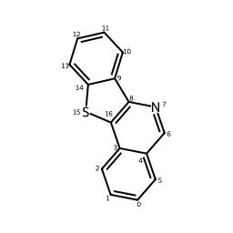 c1ccc2c(c1)cnc1c3ccccc3sc21